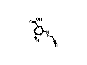 C#N.N#CCN=Nc1cccc(C(=O)O)c1